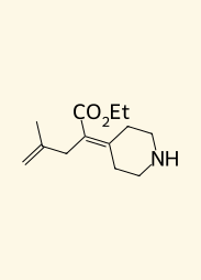 C=C(C)CC(C(=O)OCC)=C1CCNCC1